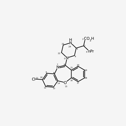 CCCC(C(=O)O)C1CN(C2=Nc3cc(Cl)ccc3Oc3ccccc32)CCN1